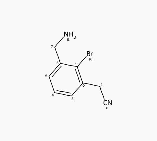 N#CCc1cccc(CN)c1Br